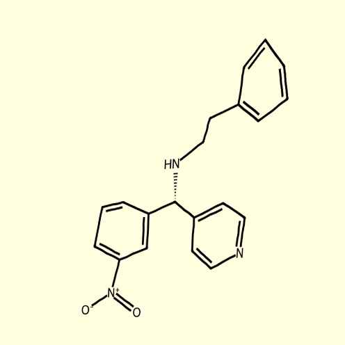 O=[N+]([O-])c1cccc([C@H](NCCc2ccccc2)c2ccncc2)c1